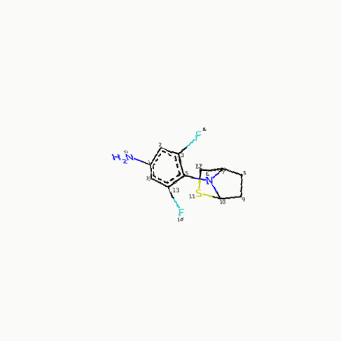 Nc1cc(F)c(N2C3CCC2SC3)c(F)c1